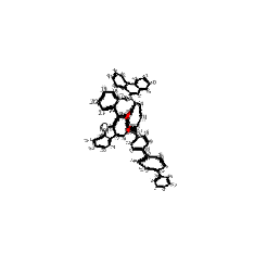 c1ccc(-c2ccc(-c3ccc(-c4ccc(N(c5ccccc5-c5cccc6c5oc5ccccc56)c5cc6ccccc6c6ccccc56)cc4)cc3)cc2)cc1